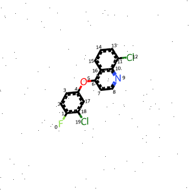 Fc1ccc(Oc2ccnc3c(Cl)cccc23)cc1Cl